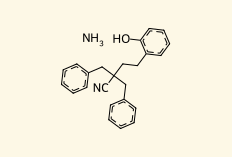 N.N#CC(CCc1ccccc1O)(Cc1ccccc1)Cc1ccccc1